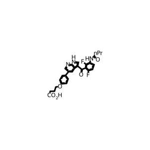 CCCC(=O)Nc1ccc(F)c(C(=O)c2c[nH]c3ncc(-c4ccc(OCCCC(=O)O)cc4)cc23)c1F